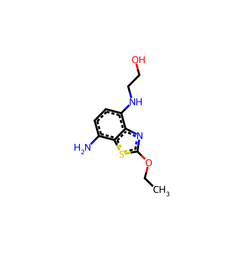 CCOc1nc2c(NCCO)ccc(N)c2s1